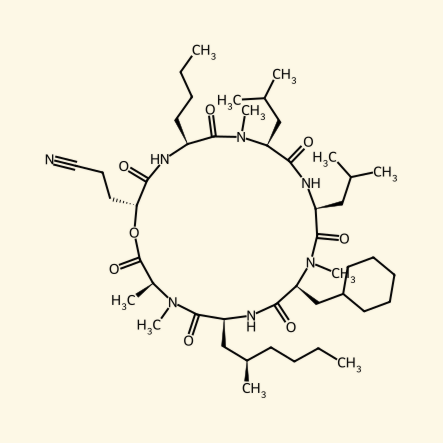 CCCC[C@@H](C)C[C@@H]1NC(=O)[C@H](CC2CCCCC2)N(C)C(=O)[C@H](CC(C)C)NC(=O)[C@H](CC(C)C)N(C)C(=O)[C@H](CCCC)NC(=O)[C@@H](CCC#N)OC(=O)[C@H](C)N(C)C1=O